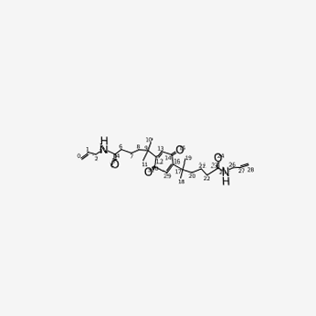 C=CCNC(=O)CCCC(C)(C)C1=CC(=O)C(C(C)(C)CCCC(=O)NCC=C)=CC1=O